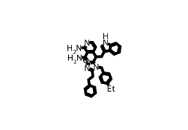 CCc1ccc(Cn2c(CCc3ccccc3)nnc2C(Cc2c[nH]c3ccccc23)c2ccnc(N)c2C(N)=O)cc1